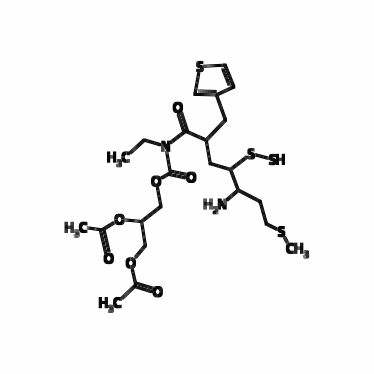 CCN(C(=O)OCC(COC(C)=O)OC(C)=O)C(=O)C(Cc1ccsc1)CC(SS)C(N)CCSC